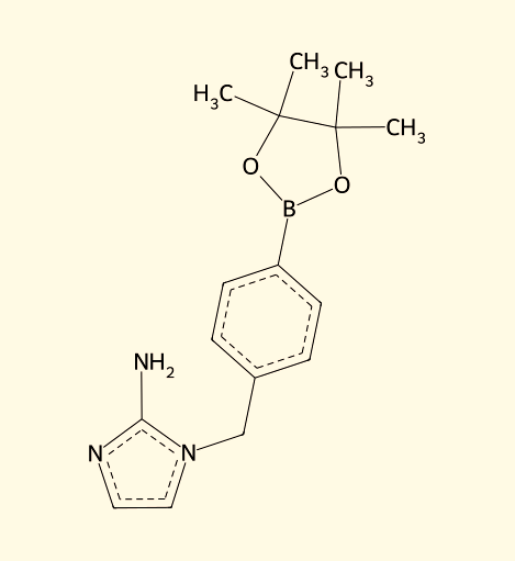 CC1(C)OB(c2ccc(Cn3ccnc3N)cc2)OC1(C)C